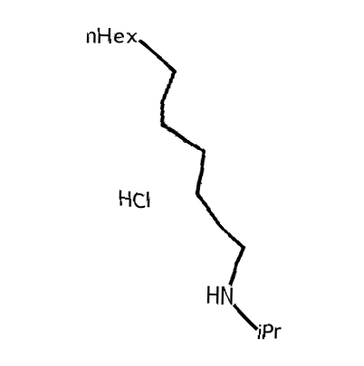 CCCCCCCCCCCNC(C)C.Cl